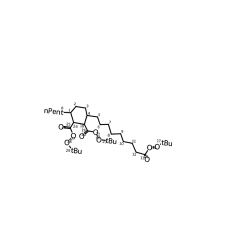 CCCCCC1CCC(CCCCCCCCC(=O)OOC(C)(C)C)C(C(=O)OOC(C)(C)C)C1C(=O)OOC(C)(C)C